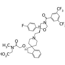 CN(CC(=O)O)C(=O)CO[C@H]1Cc2ccccc2C12CCN(CC[C@@]1(c3ccc(F)cc3)CN(C(=O)c3cc(C(F)(F)F)cc(C(F)(F)F)c3)CO1)CC2